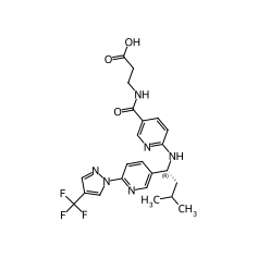 CC(C)C[C@@H](Nc1ccc(C(=O)NCCC(=O)O)cn1)c1ccc(-n2cc(C(F)(F)F)cn2)nc1